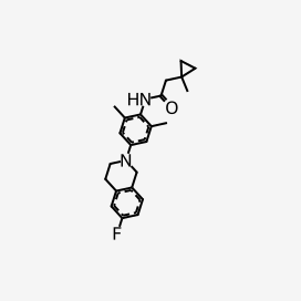 Cc1cc(N2CCc3cc(F)ccc3C2)cc(C)c1NC(=O)CC1(C)CC1